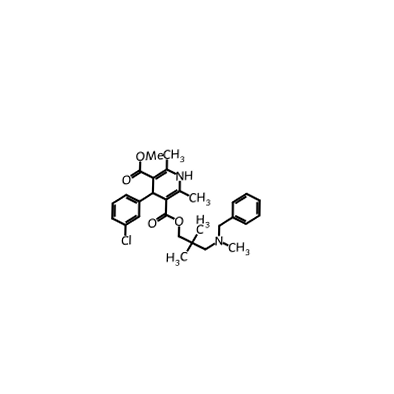 COC(=O)C1=C(C)NC(C)=C(C(=O)OCC(C)(C)CN(C)Cc2ccccc2)C1c1cccc(Cl)c1